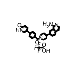 Nc1nccc2ccc(C3=CCN(C(=O)c4ccc(-c5ccc(=O)[nH]c5)cc4)CC3)cc12.O=C(O)C(F)(F)F